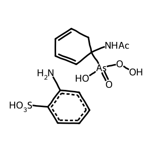 CC(=O)NC1([As](=O)(O)OO)C=CC=CC1.Nc1ccccc1S(=O)(=O)O